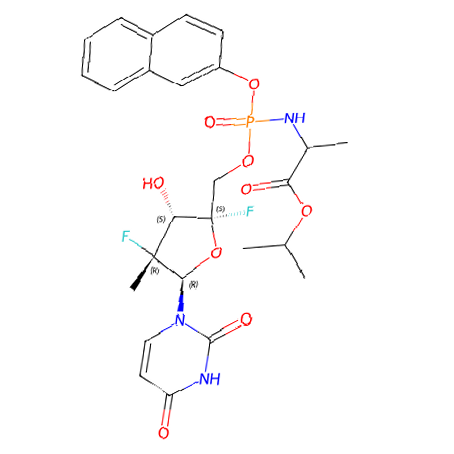 CC(C)OC(=O)C(C)NP(=O)(OC[C@@]1(F)O[C@@H](n2ccc(=O)[nH]c2=O)[C@](C)(F)[C@@H]1O)Oc1ccc2ccccc2c1